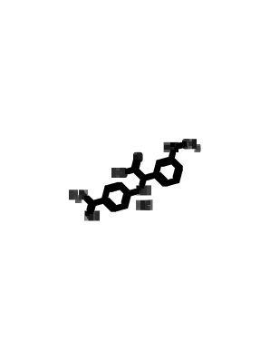 CNc1cccc(C(Nc2ccc(C(=N)N)cc2)C(=O)O)c1.Cl